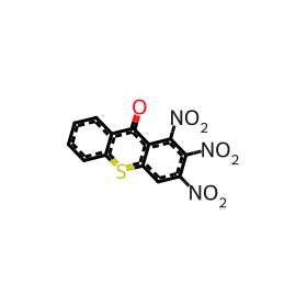 O=c1c2ccccc2sc2cc([N+](=O)[O-])c([N+](=O)[O-])c([N+](=O)[O-])c12